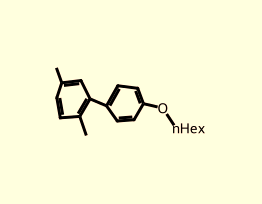 CCCCCCOc1ccc(-c2cc(C)ccc2C)cc1